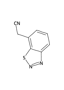 N#CCc1cccc2nnsc12